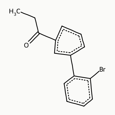 CCC(=O)c1cccc(-c2ccccc2Br)c1